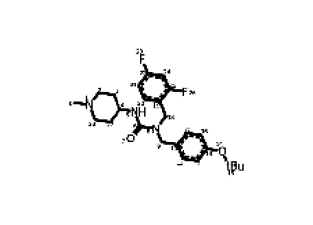 CN1CCC(NC(=O)N(Cc2ccc(OC(C)(C)C)cc2)Cc2ccc(F)cc2F)CC1